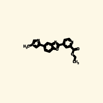 CCOC(=O)c1cc(-c2nc3cc(-c4cn(C)cn4)ccc3o2)ccn1